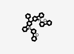 c1ccc(-c2cc3c4ccccc4n(-c4ccc5oc6ccccc6c5c4)c3cc2-c2ccc3c4ccccc4n(-c4cccc5c4oc4ccccc45)c3c2)cc1